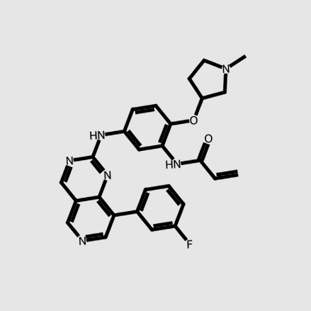 C=CC(=O)Nc1cc(Nc2ncc3cncc(-c4cccc(F)c4)c3n2)ccc1OC1CCN(C)C1